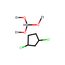 CCO[SiH](OCC)OCC.ClC1CCC(Cl)C1